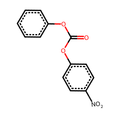 O=C(Oc1ccccc1)Oc1ccc([N+](=O)[O-])cc1